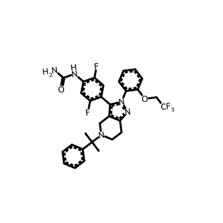 CC(C)(c1ccccc1)N1CCc2nn(-c3ccccc3OCC(F)(F)F)c(-c3cc(F)c(NC(N)=O)cc3F)c2C1